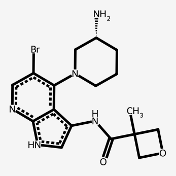 CC1(C(=O)Nc2c[nH]c3ncc(Br)c(N4CCC[C@@H](N)C4)c23)COC1